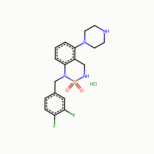 Cl.O=S1(=O)NCc2c(N3CCNCC3)cccc2N1Cc1ccc(F)c(F)c1